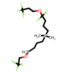 C[Si](C)(CCC[SiH2]OCC(F)(F)F)CCCC(F)(F)OCCC(F)(F)F